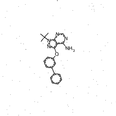 CC(C)(C)n1nc(Oc2cccc(-c3ccccc3)c2)c2c(N)ncnc21